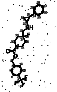 O=C(OCc1ccc(C(F)(F)F)cc1)N1CCC(F)(CNC2CC2c2ccccc2)CC1